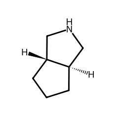 C1C[C@@H]2CNC[C@H]2C1